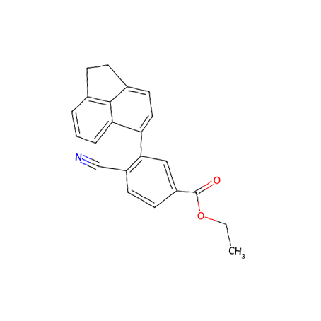 CCOC(=O)c1ccc(C#N)c(-c2ccc3c4c(cccc24)CC3)c1